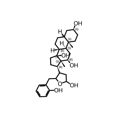 C[C@]12CC[C@H](O)C[C@H]1CC[C@@H]1[C@@H]2C[C@@H](O)[C@]2(C)[C@@H](C3CC(O)OC3Cc3ccccc3O)CC[C@]12O